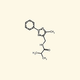 Cc1nn(-c2ccccc2)nc1CNC(=O)C(C)C